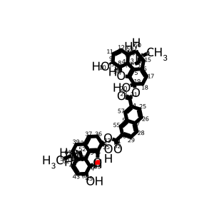 CN1CC[C@]23C4=C5O[C@H]2[C@@H](O)C=C[C@H]3[C@H]1CC4=CCC5(O)OC(=O)c1ccc2ccc(C(=O)OC3(O)CC=C4C[C@@H]5[C@@H]6C=C[C@H](O)[C@@H]7OC3=C4[C@]67CCN5C)cc2c1